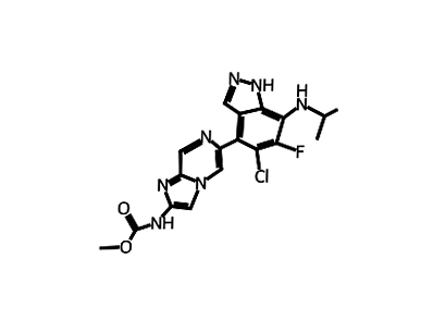 COC(=O)Nc1cn2cc(-c3c(Cl)c(F)c(NC(C)C)c4[nH]ncc34)ncc2n1